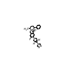 CC1CCC(c2ccccc2)S(=O)(=O)N1Cc1cc(F)c(N2C[C@@H]3[C@H](C2)[C@H]3n2cnnc2)cc1F